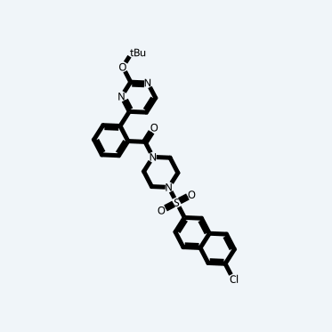 CC(C)(C)Oc1nccc(-c2ccccc2C(=O)N2CCN(S(=O)(=O)c3ccc4cc(Cl)ccc4c3)CC2)n1